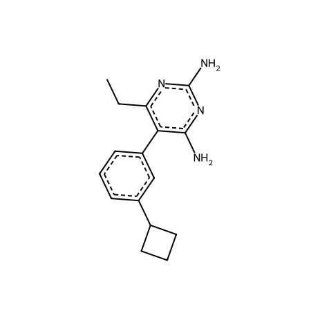 CCc1nc(N)nc(N)c1-c1cccc(C2CCC2)c1